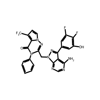 Nc1ncnc2c1c(-c1cc(O)c(F)c(F)c1)nn2Cc1nn2ccc(C(F)(F)F)c2c(=O)n1-c1ccccc1